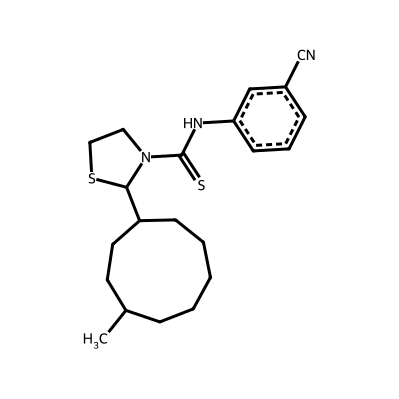 CC1CCCCCC(C2SCCN2C(=S)Nc2cccc(C#N)c2)CC1